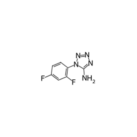 Nc1nnnn1-c1ccc(F)cc1F